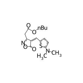 CCCCOC(=O)CC1=NOC(=O)C1=Cc1ccc(N(C)C)s1